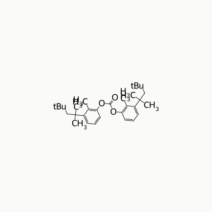 Cc1c(OC(=O)Oc2cccc(C(C)(C)CC(C)(C)C)c2C)cccc1C(C)(C)CC(C)(C)C